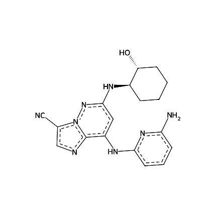 N#Cc1cnc2c(Nc3cccc(N)n3)cc(N[C@@H]3CCCC[C@H]3O)nn12